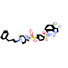 O=S(=O)(NCC1CCN(CCCc2ccccc2)CC1)c1ccc(S(=O)(=O)Nc2ccc(Cl)c3c(Cl)c[nH]c23)cc1